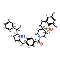 Cc1cc(C)c2c(c1)CCC1(CCN(C(=O)c3ccc(CC4CCC(C(C)c5ccccc5)N4)cc3)CC1)S2(=O)=O